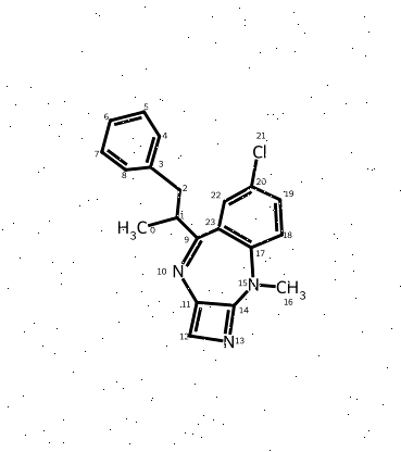 CC(Cc1ccccc1)c1nc2cnc-2n(C)c2ccc(Cl)cc12